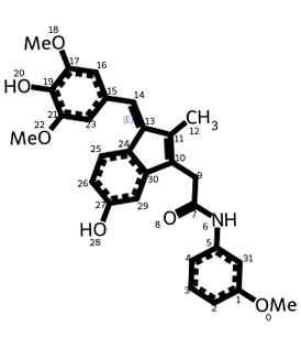 COc1cccc(NC(=O)CC2=C(C)/C(=C/c3cc(OC)c(O)c(OC)c3)c3ccc(O)cc32)c1